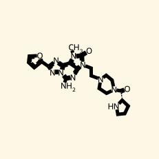 Cn1c(=O)n(CCN2CCN(C(=O)[C@@H]3CCCN3)CC2)c2nc(N)n3nc(-c4ccco4)nc3c21